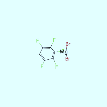 Fc1[c]c(F)c(F)c(F)c1F.[Br][Mg][Br]